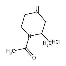 CC(=O)N1CCNCC1C.Cl